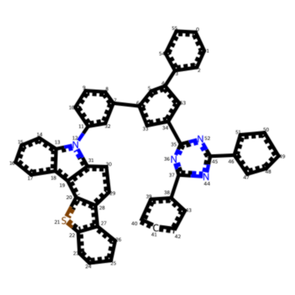 c1ccc(-c2cc(-c3cccc(-n4c5ccccc5c5c6sc7ccccc7c6ccc54)c3)cc(-c3nc(-c4ccccc4)nc(-c4ccccc4)n3)c2)cc1